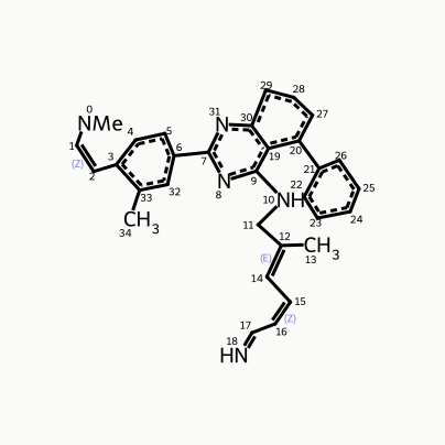 CN/C=C\c1ccc(-c2nc(NC/C(C)=C/C=C\C=N)c3c(-c4ccccc4)cccc3n2)cc1C